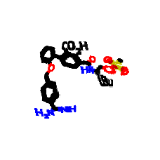 CC(C)(C)[C@@H](COS(C)(=O)=O)NC(=O)c1ccc(-c2ccccc2OCc2ccc(C(=N)N)cc2)c(C(=O)O)c1